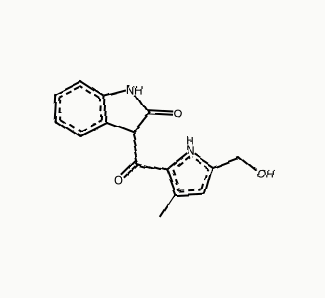 Cc1cc(CO)[nH]c1C(=O)C1C(=O)Nc2ccccc21